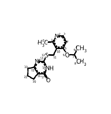 Cc1nccc(OC(C)C)c1CSc1nc2c(c(=O)[nH]1)CCC2